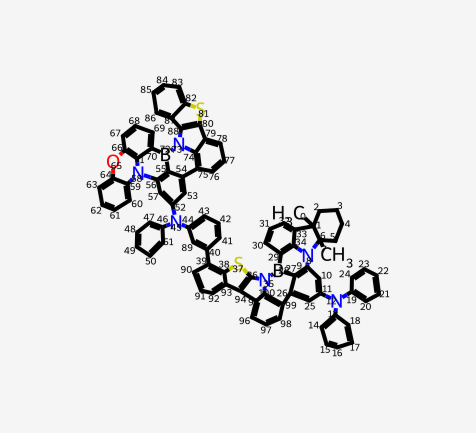 CC12CCCCC1(C)N1c3cc(N(c4ccccc4)c4ccccc4)cc4c3B(c3cccc2c31)n1c2sc3c(-c5cccc(N(c6ccccc6)c6cc7c8c(c6)N6c9ccccc9Oc9cccc(c96)B8n6c8c-7cccc8c7sc8ccccc8c76)c5)cccc3c2c2cccc-4c21